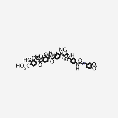 COc1c(NC(=O)c2ccc(NC(=O)c3ccc(NC(=O)[C@H](CC#N)NC(=O)c4ccc(NC(=O)/C=C/c5ccc6c(c5)OCO6)cc4)cc3)c(OC)c2O)ccc(C(=O)O)c1O